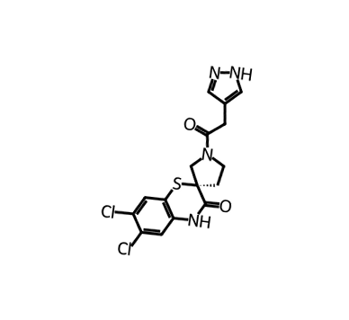 O=C(Cc1cn[nH]c1)N1CC[C@@]2(C1)Sc1cc(Cl)c(Cl)cc1NC2=O